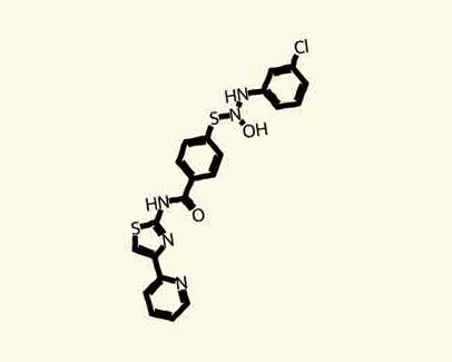 O=C(Nc1nc(-c2ccccn2)cs1)c1ccc(SN(O)Nc2cccc(Cl)c2)cc1